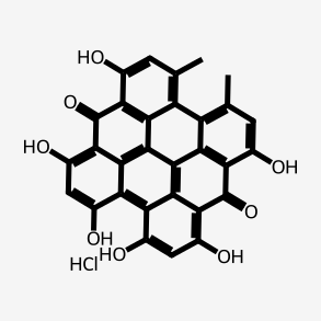 Cc1cc(O)c2c(=O)c3c(O)cc(O)c4c5c(O)cc(O)c6c(=O)c7c(O)cc(C)c8c1c2c(c34)c(c78)c65.Cl